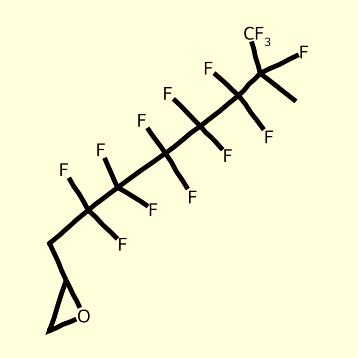 CC(F)(C(F)(F)F)C(F)(F)C(F)(F)C(F)(F)C(F)(F)C(F)(F)CC1CO1